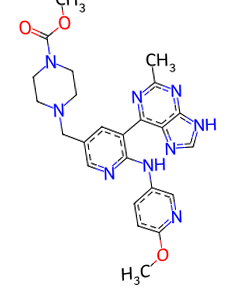 COC(=O)N1CCN(Cc2cnc(Nc3ccc(OC)nc3)c(-c3nc(C)nc4[nH]cnc34)c2)CC1